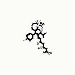 CC(C)c1nc2c(c(-c3ccc(F)cc3)c1C=C[C@@H](O)C[C@@H](O)CC(=O)O)COC[C@H](C)N2S(C)(=O)=O